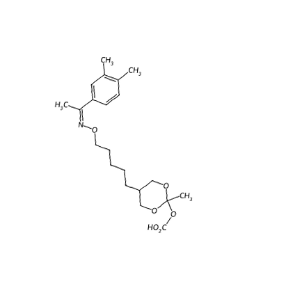 CC(=NOCCCCCC1COC(C)(OC(=O)O)OC1)c1ccc(C)c(C)c1